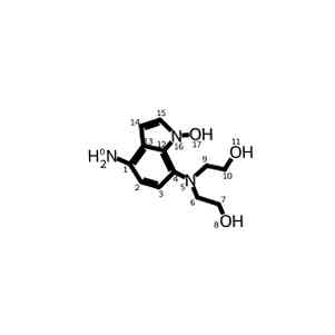 Nc1ccc(N(CCO)CCO)c2c1ccn2O